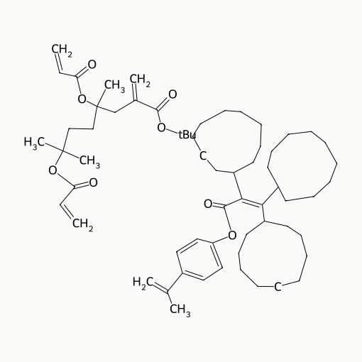 C=C(C)c1ccc(OC(=O)C(=C(C2CCCCCCCCC2)C2CCCCCCCCC2)C2CCCCCCCCC2)cc1.C=CC(=O)OC(C)(C)CCC(C)(CC(=C)C(=O)OC(C)(C)C)OC(=O)C=C